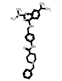 CC(C)c1ccc2c(NCc3ccc(NC(=O)C4CCN(Cc5ccccc5)CC4)cc3)nc(N(C)C)nc2c1